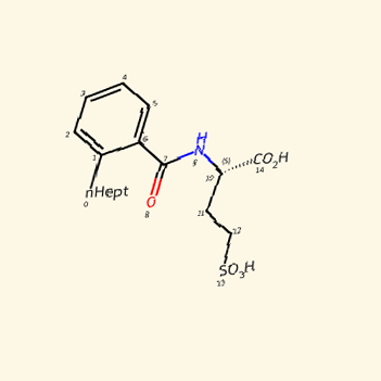 CCCCCCCc1ccccc1C(=O)N[C@@H](CCS(=O)(=O)O)C(=O)O